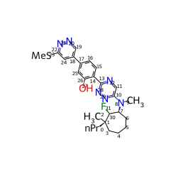 CCC[C@]1(C)CCCC[C@H](N(C)c2cnc(-c3ccc(-c4cnnc(SC)c4)cc3O)nn2)[C@@H]1F